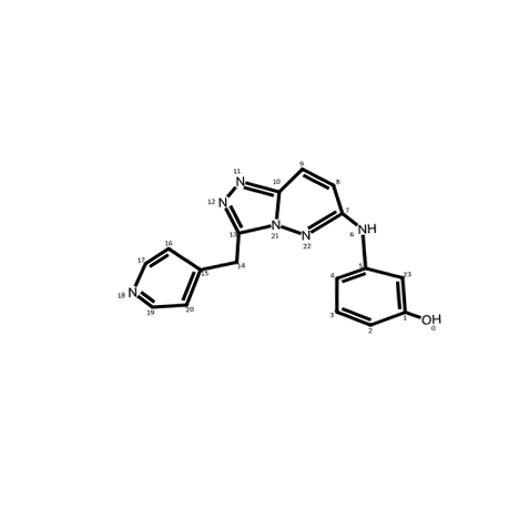 Oc1cccc(Nc2ccc3nnc(Cc4ccncc4)n3n2)c1